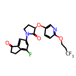 O=C1CCc2c(F)cc(N3CC[C@@H](Oc4ccc(OCCC(F)(F)F)nc4)C3=O)cc21